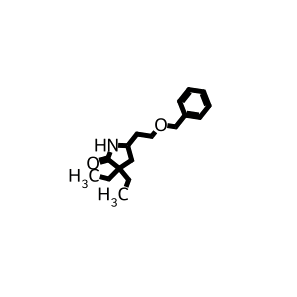 CCC1(CC)CC(CCOCc2ccccc2)NC1=O